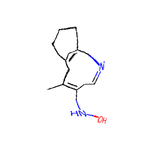 Cc1c(NO)cnc2c1CCC2